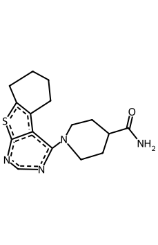 NC(=O)C1CCN(c2ncnc3sc4c(c23)CCCC4)CC1